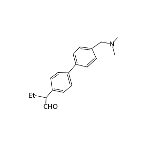 CCC(C=O)c1ccc(-c2ccc(CN(C)C)cc2)cc1